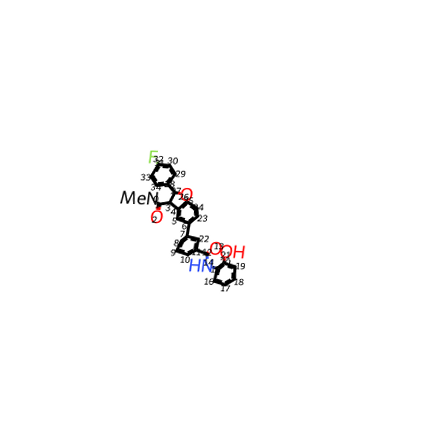 CNC(=O)C1c2cc(-c3cccc(C(=O)Nc4ccccc4O)c3)ccc2OC1c1ccc(F)cc1